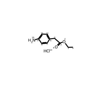 CCOC(=O)Cc1ccc(N)cc1.Cl